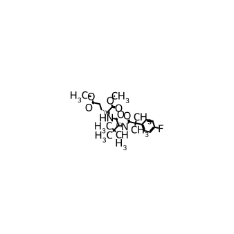 COC(=O)CC[C@@H](NC(=O)[C@@H](NC(=O)C(C)(C)c1ccc(F)cc1)C(C)(C)C)C(=O)OC